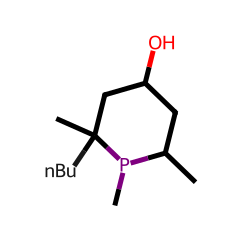 CCCCC1(C)CC(O)CC(C)P1C